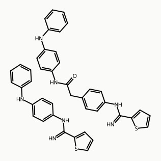 N=C(Nc1ccc(CC(=O)Nc2ccc(Nc3ccccc3)cc2)cc1)c1cccs1.N=C(Nc1ccc(Nc2ccccc2)cc1)c1cccs1